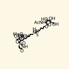 COC[C@H]1O[C@@H](n2ccc(=O)[nH]c2=O)C(C/C=C/CCCCNC(=S)NCCCCO[C@@H]2O[C@H](CO)[C@H](O)[C@H](O)[C@H]2NC(C)=O)[C@H]1OP(=O)(O)OC